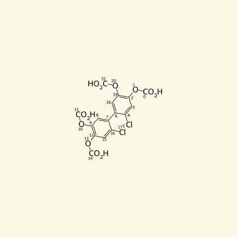 O=C(O)Oc1cc(Cl)c(-c2cc(OC(=O)O)c(OC(=O)O)cc2Cl)cc1OC(=O)O